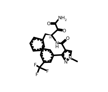 Cn1cc(C(=O)N[C@@H](Cc2ccccc2)C(=O)C(N)=O)c(-c2cccc(C(F)(F)F)c2)n1